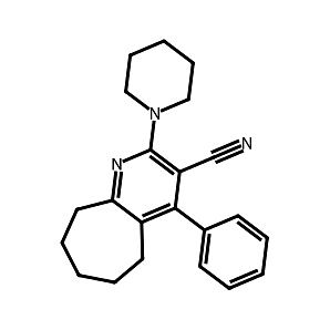 N#Cc1c(N2CCCCC2)nc2c(c1-c1ccccc1)CCCCC2